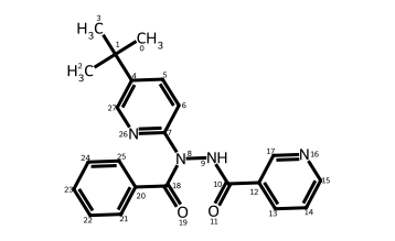 CC(C)(C)c1ccc(N(NC(=O)c2cccnc2)C(=O)c2ccccc2)nc1